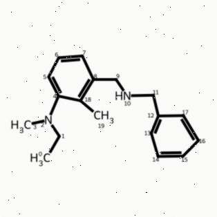 CCN(C)c1cccc(CNCc2ccccc2)c1C